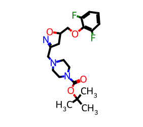 CC(C)(C)OC(=O)N1CCN(CC2=NOC(COc3c(F)cccc3F)C2)CC1